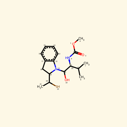 COC(=O)N[C@@H](C(C)C)C(O)N1c2ccccc2CC1C(C)S